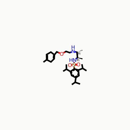 CC1=CCC(COCCN[C@H](C)[C@@H](C)NS(=O)(=O)c2c(C(C)C)cc(C(C)C)cc2C(C)C)=CC1